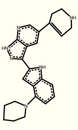 C1=C(c2cnc3[nH]nc(-c4cc5c(N6CCCCC6)cccc5[nH]4)c3c2)CCNC1